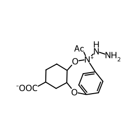 CC(=O)[N+]1(NN)OC2CCC(C(=O)[O-])CC2Oc2ccc1cc2